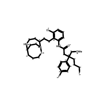 CCc1cccc(NC(=O)CC(CCCF)(COC)c2ccc(F)cc2)c1CCC1CCNC2CCCSN1CC2